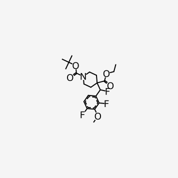 CCOC(=O)C1(C(F)c2ccc(F)c(OC)c2F)CCN(C(=O)OC(C)(C)C)CC1